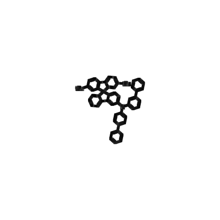 CC(C)(C)c1ccc2c(c1)C1(c3ccccc3-c3cc(N(c4ccc(-c5ccccc5)cc4)c4cccc(-c5ccccc5)c4)ccc31)c1cc(C(C)(C)C)ccc1-2